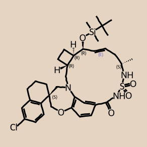 C[C@H]1C/C=C/[C@H](O[Si](C)(C)C(C)(C)C)[C@@H]2CC[C@H]2CN2C[C@@]3(CCCc4cc(Cl)ccc43)COc3ccc(cc32)C(=O)NS(=O)(=O)N1